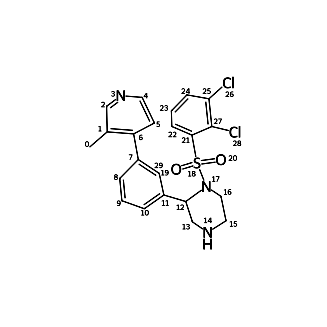 Cc1cnccc1-c1cccc(C2CNCCN2S(=O)(=O)c2cccc(Cl)c2Cl)c1